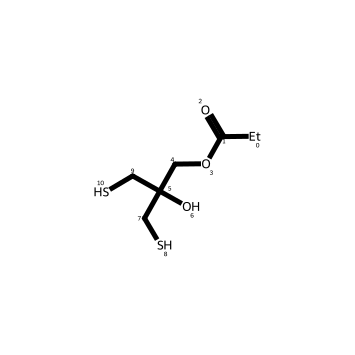 CCC(=O)OCC(O)(CS)CS